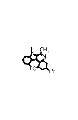 Cc1nc2c(c3c1[nH]c1cccc(F)c13)C(=O)CC(C(C)C)C2